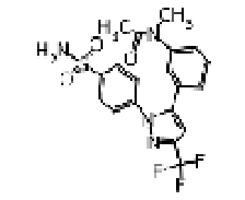 CC(=O)N(C)c1cccc(-c2cc(C(F)(F)F)nn2-c2ccc(S(N)(=O)=O)cc2)c1